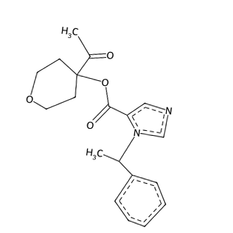 CC(=O)C1(OC(=O)c2cncn2C(C)c2ccccc2)CCOCC1